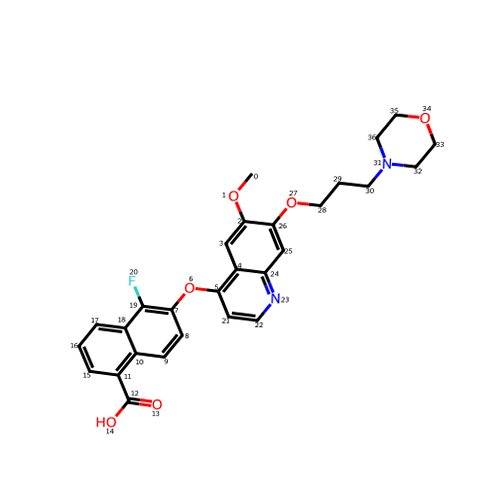 COc1cc2c(Oc3ccc4c(C(=O)O)cccc4c3F)ccnc2cc1OCCCN1CCOCC1